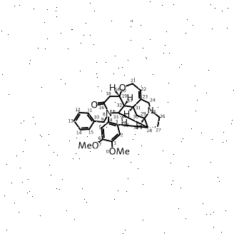 COc1cc2c(cc1OC)[N+]1(Cc3ccccc3)C(=O)C[C@@H]3OCC=C4CN5CC[C@]26[C@@H]5C[C@@H]4[C@@H]3[C@@H]61